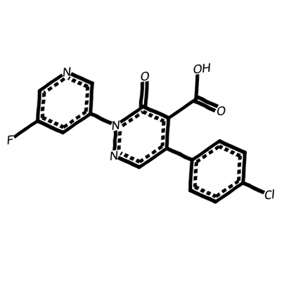 O=C(O)c1c(-c2ccc(Cl)cc2)cnn(-c2cncc(F)c2)c1=O